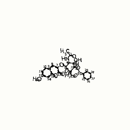 CC(=O)N[C@H]1C(Oc2cc3ccc(O)cc3oc2=O)O[C@@H]2COC(c3ccccc3)O[C@H]2[C@@H]1O